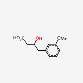 COc1cccc(C[C@H](O)CC(=O)O)c1